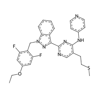 CCOc1cc(F)c(Cn2nc(-c3ncc(CCSC)c(Nc4ccncc4)n3)c3ccccc32)c(F)c1